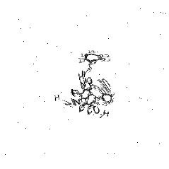 Nc1c(F)c(NC(=O)CCc2ccccc2)c(F)c2c1C(=O)C(C(=O)O)=CC2c1ccccc1